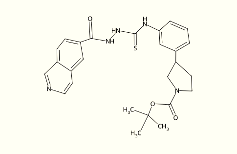 CC(C)(C)OC(=O)N1CCC(c2cccc(NC(=S)NNC(=O)c3ccc4cnccc4c3)c2)C1